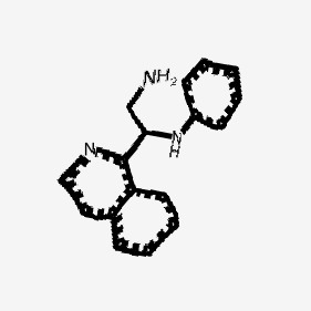 NCC(Nc1ccccc1)c1nccc2ccccc12